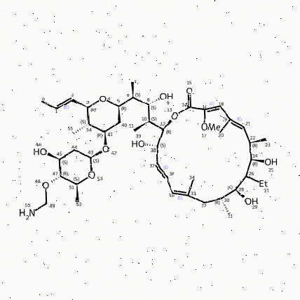 C/C=C/[C@H]1O[C@@H]([C@@H](C)[C@H](O)[C@H](C)[C@H]2OC(=O)/C(OC)=C/C(C)=C/[C@@H](C)[C@@H](O)C(CC)[C@@H](O)[C@H](C)C/C(C)=C/C=C/[C@@H]2O)C[C@@H](O[C@@H]2C[C@H](O)[C@@H](OCN)[C@H](C)O2)[C@@H]1C